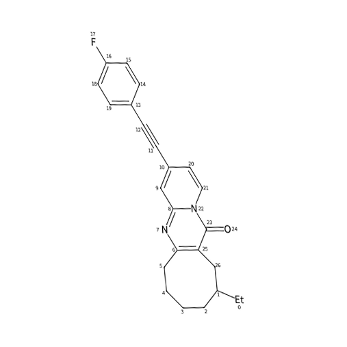 CCC1CCCCc2nc3cc(C#Cc4ccc(F)cc4)ccn3c(=O)c2C1